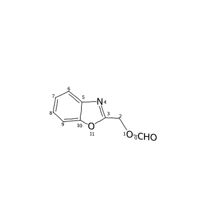 O=COCc1nc2ccccc2o1